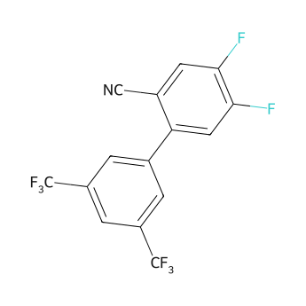 N#Cc1cc(F)c(F)cc1-c1cc(C(F)(F)F)cc(C(F)(F)F)c1